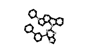 c1ccc(-c2cccc(-c3nc(-n4c5ccccc5c5ccc6c(ccn6-c6ccccc6)c54)nc4ccsc34)c2)cc1